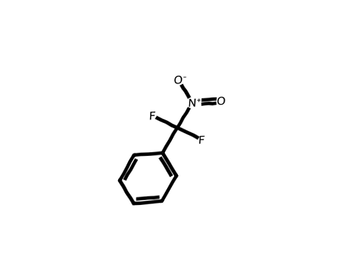 O=[N+]([O-])C(F)(F)c1ccccc1